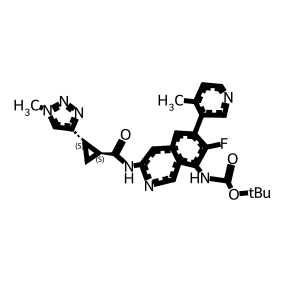 Cc1ccncc1-c1cc2cc(NC(=O)[C@H]3C[C@@H]3c3cn(C)nn3)ncc2c(NC(=O)OC(C)(C)C)c1F